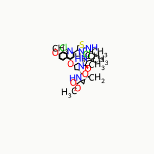 C=C[C@@H]1C[C@]1(NC(=O)[C@@H]1C[C@@H](Oc2cc(C3CSC(NC(C)C)=N3)nc3c(Cl)c(OC)ccc23)CN1C(=O)[C@@H](NCl)C(C)(C)C)C(=O)OC